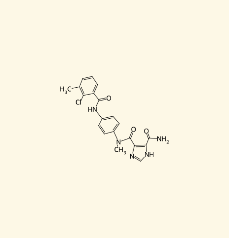 Cc1cccc(C(=O)Nc2ccc(N(C)C(=O)c3nc[nH]c3C(N)=O)cc2)c1Cl